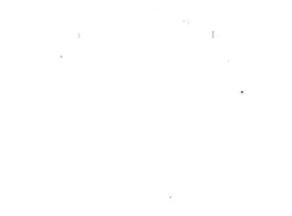 C1CCCCCCCN=NN=NN=NCCCCCCC1